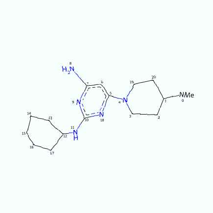 CNC1CCN(c2cc(N)nc(NC3CCCCC3)n2)CC1